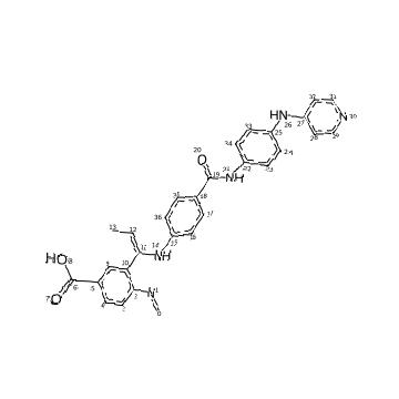 C=Nc1ccc(C(=O)O)cc1/C(=C\C)Nc1ccc(C(=O)Nc2ccc(Nc3ccncc3)cc2)cc1